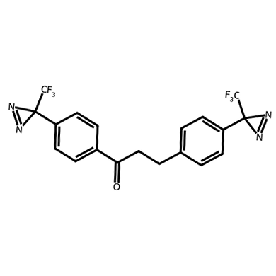 O=C(CCc1ccc(C2(C(F)(F)F)N=N2)cc1)c1ccc(C2(C(F)(F)F)N=N2)cc1